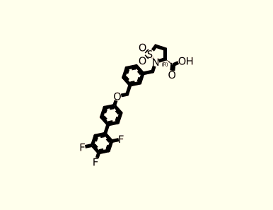 O=C(O)[C@H]1CCS(=O)(=O)N1Cc1cccc(COc2ccc(-c3cc(F)c(F)cc3F)cc2)c1